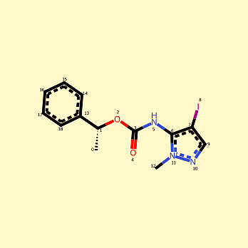 C[C@@H](OC(=O)Nc1c(I)cnn1C)c1ccccc1